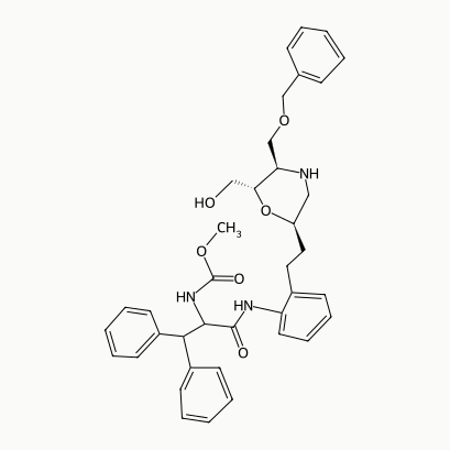 COC(=O)NC(C(=O)Nc1ccccc1CC[C@@H]1CN[C@H](COCc2ccccc2)[C@@H](CO)O1)C(c1ccccc1)c1ccccc1